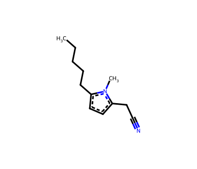 CCCCCc1ccc(CC#N)n1C